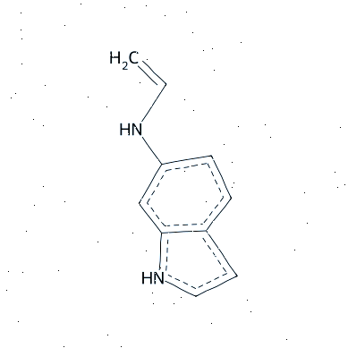 C=CNc1ccc2cc[nH]c2c1